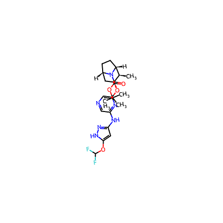 C[C@H]1[C@@H](Oc2cncc(Nc3cc(OC(F)F)[nH]n3)n2)C[C@@H]2CC[C@H]1N2C(=O)OC(C)(C)C